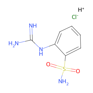 N=C(N)Nc1ccccc1S(N)(=O)=O.[Cl-].[H+]